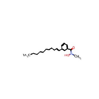 CCCCCCCCCC=Cc1cccc(C(=O)N(C)O)c1